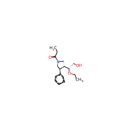 CCO[C@@H](CO)[C@H]1CN(C(=O)CC)C[C@@H]1c1ccccc1